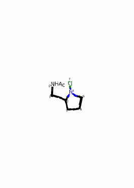 CC(=O)NCC1CCCN1Cl